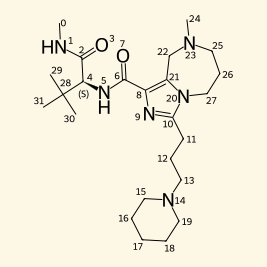 CNC(=O)[C@@H](NC(=O)c1nc(CCCN2CCCCC2)n2c1CN(C)CCC2)C(C)(C)C